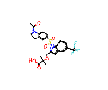 CC(=O)N1CCc2cc(S(=O)(=O)n3c(COC(C)(C)C(=O)O)cc4cc(C(F)(F)F)ccc43)ccc21